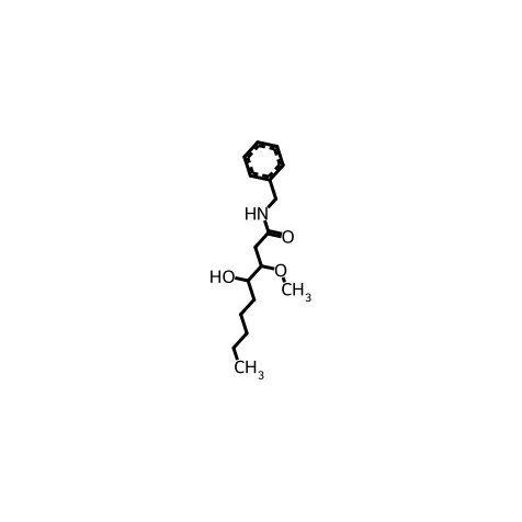 CCCCCC(O)C(CC(=O)NCc1ccccc1)OC